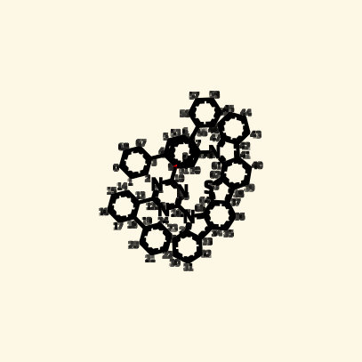 c1ccc(-c2ccccc2-c2nc(-c3ccccc3-c3ccccc3)nc(-n3c4ccccc4c4ccc5c6ccc7c8ccccc8n(-c8ccccc8-c8ccccc8)c7c6sc5c43)n2)cc1